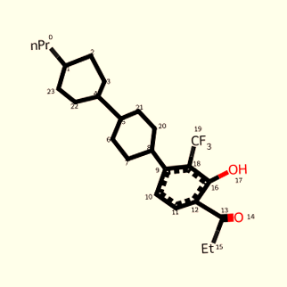 CCCC1CCC(C2CCC(c3ccc(C(=O)CC)c(O)c3C(F)(F)F)CC2)CC1